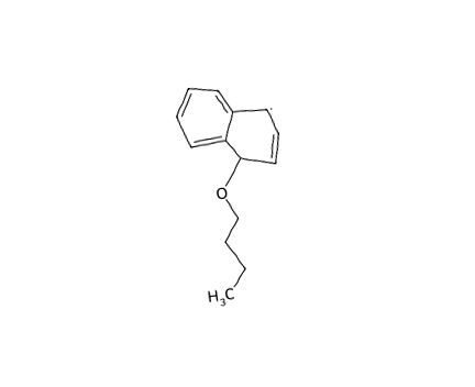 CCCCOC1C=C[CH]c2ccccc21